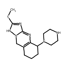 CSC1=NC2=NC3=C(CCCC3N3CCNCC3)CN2N1